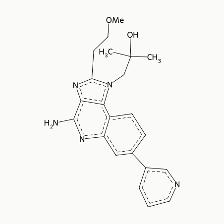 COCCc1nc2c(N)nc3cc(-c4cccnc4)ccc3c2n1CC(C)(C)O